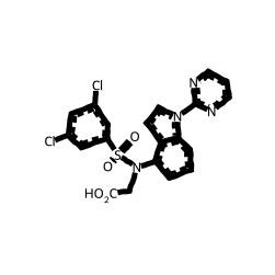 O=C(O)CN(c1cccc2c1ccn2-c1ncccn1)S(=O)(=O)c1cc(Cl)cc(Cl)c1